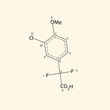 COc1ccc(C(F)(F)C(=O)O)cc1Cl